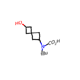 CC(C)(C)N(C(=O)O)C1CC2(CC(O)C2)C1